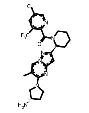 Cc1cn2nc([C@@H]3CCCCN3C(=O)c3ncc(Cl)cc3C(F)(F)F)cc2nc1N1CC[C@H](N)C1